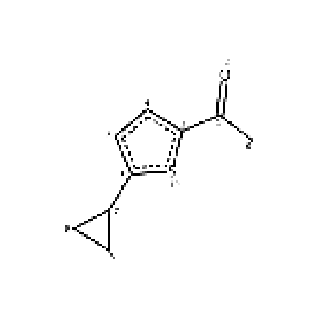 CC(=O)c1ccc(C2CC2)s1